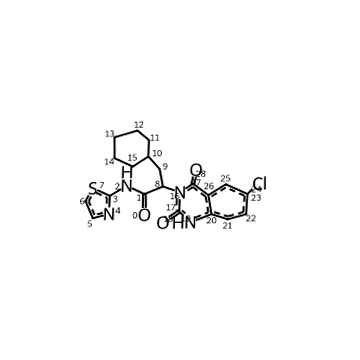 O=C(Nc1nccs1)C(CC1CCCCC1)n1c(=O)[nH]c2ccc(Cl)cc2c1=O